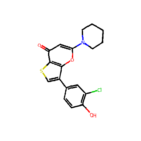 O=c1cc(N2CCCCC2)oc2c(-c3ccc(O)c(Cl)c3)csc12